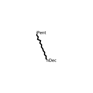 CCCCCCCCCCCCCCCCCCCCCCCC(C)CCC